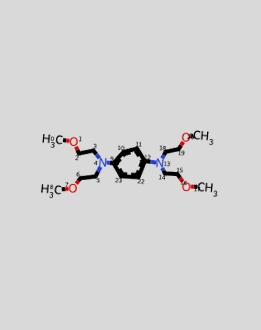 COCCN(CCOC)c1ccc(N(CCOC)CCOC)cc1